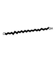 OCCCCCCCCCCCCCCCCCCCCCCCCCCCl